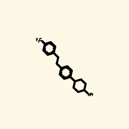 CCCC1CCC(c2ccc(CCc3ccc(C(F)(F)F)cc3)cc2)CC1